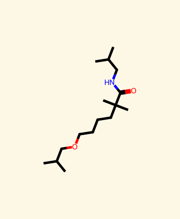 CC(C)CNC(=O)C(C)(C)CCCCOCC(C)C